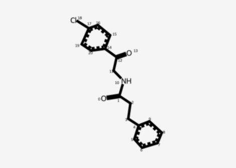 O=C(CCc1ccccc1)NCC(=O)c1ccc(Cl)cc1